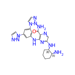 NC(=O)c1ncc(N[C@@H]2CCCC[C@@H]2N)nc1Nc1cc(-n2ccnn2)cc(-n2ccnn2)c1